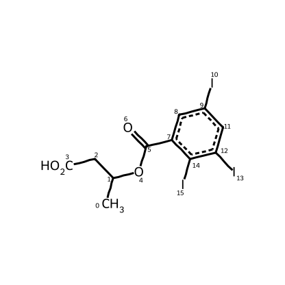 CC(CC(=O)O)OC(=O)c1cc(I)cc(I)c1I